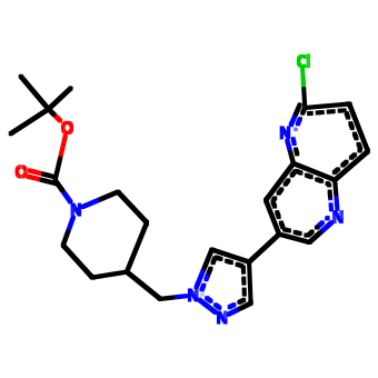 CC(C)(C)OC(=O)N1CCC(Cn2cc(-c3cnc4ccc(Cl)nc4c3)cn2)CC1